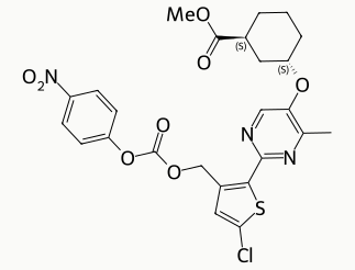 COC(=O)[C@H]1CCC[C@H](Oc2cnc(-c3sc(Cl)cc3COC(=O)Oc3ccc([N+](=O)[O-])cc3)nc2C)C1